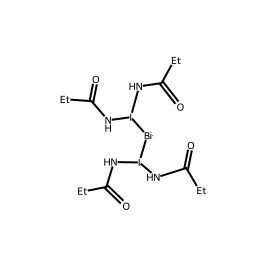 CCC(=O)N[I](NC(=O)CC)[Bi][I](NC(=O)CC)NC(=O)CC